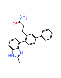 Cc1nc2c(-c3ccc(-c4ccccc4)cc3CCC(N)=O)cccc2[nH]1